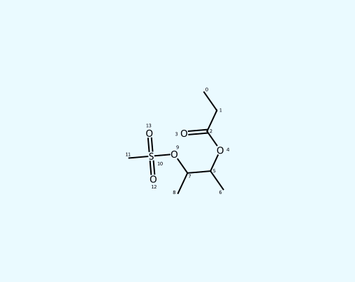 CCC(=O)OC(C)C(C)OS(C)(=O)=O